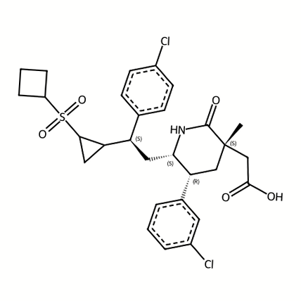 C[C@@]1(CC(=O)O)C[C@H](c2cccc(Cl)c2)[C@H](C[C@H](c2ccc(Cl)cc2)C2CC2S(=O)(=O)C2CCC2)NC1=O